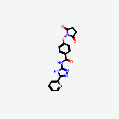 O=C(Nc1nnc(-c2ccccn2)[nH]1)c1ccc(ON2C(=O)CCC2=O)cc1